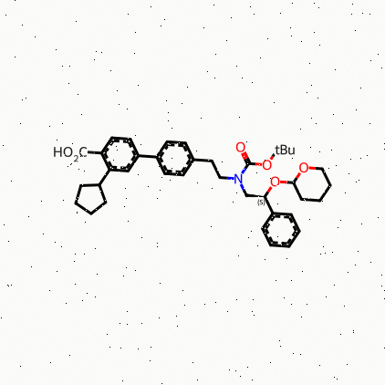 CC(C)(C)OC(=O)N(CCc1ccc(-c2ccc(C(=O)O)c(C3CCCC3)c2)cc1)C[C@@H](OC1CCCCO1)c1ccccc1